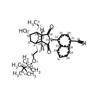 CC[C@]12O[C@](CCO[Si](C)(C)C(C)(C)C)(C[C@@H]1O)[C@H]1C(=O)N(c3ccc(C#N)c4ccccc34)C(=O)[C@H]12